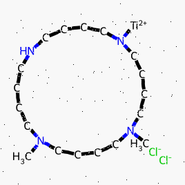 CN1CCCCNCCCC[N]([Ti+2])CCCCN(C)CCCC1.[Cl-].[Cl-]